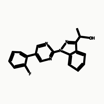 CC(O)c1nn(-c2ncc(-c3ccccc3F)cn2)c2c[c]ccc12